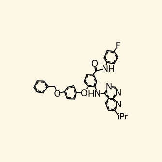 CC(C)c1ccc2c(Nc3cc(C(=O)Nc4ccc(F)cc4)ccc3Oc3ccc(OCc4ccccc4)cc3)ncnc2n1